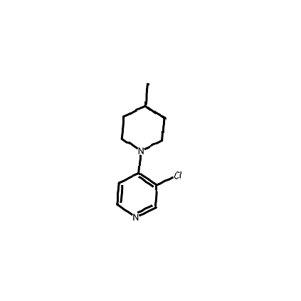 CC1CCN(c2ccncc2Cl)CC1